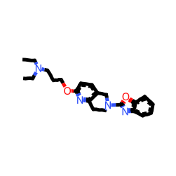 CCN(CC)CCCOc1ccc2c(n1)CCN(c1nc3ccccc3o1)C2